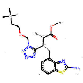 CCC[C@H](C(=O)OC(C)(C)C)[C@H](Cc1cccc2sc(N)nc12)c1nnnn1COCC[Si](C)(C)C